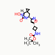 CC(C)(C)OC(=O)N[C@H]1C[C@H](c2cc([C@@H]3CC4(CC4)[C@H]4CN3C(=O)N4O)no2)C1